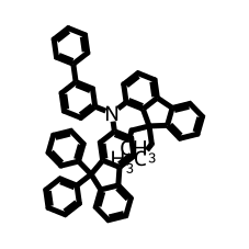 CCC1(CC)c2ccccc2-c2cccc(N(c3cccc(-c4ccccc4)c3)c3ccc4c(c3)C(c3ccccc3)(c3ccccc3)c3ccccc3-4)c21